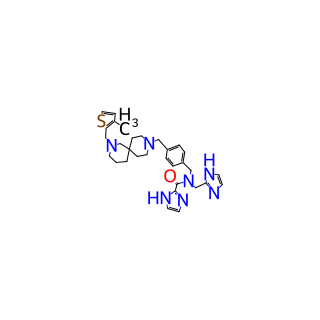 Cc1ccsc1CN1CCCC2(CCN(Cc3ccc(CN(Cc4ncc[nH]4)C(=O)c4ncc[nH]4)cc3)CC2)C1